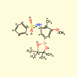 COc1cc(B2OC(C)(C)C(C)(C)O2)cc(NS(=O)(=O)c2ccccc2)c1C